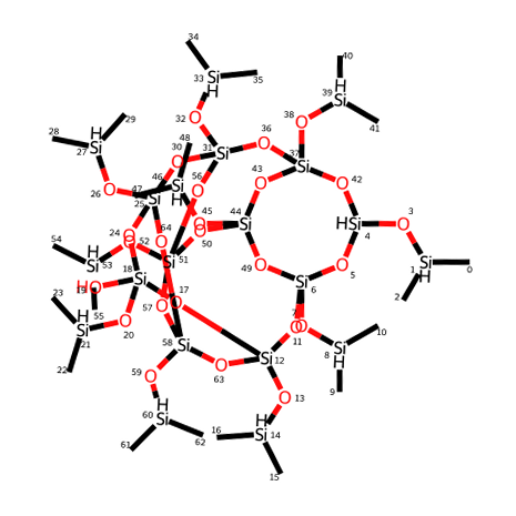 C[SiH](C)O[SiH]1O[Si]2(O[SiH](C)C)O[Si]3(O[SiH](C)C)O[Si](O)(O[SiH](C)C)O[Si]4(O[SiH](C)C)O[Si]5(O[SiH](C)C)O[Si](O[SiH](C)C)(O1)O[Si](O[SiH](C)C)(O2)O[Si](O[SiH](C)C)(O5)O[Si](O[SiH](C)C)(O3)O4